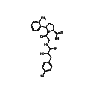 Cc1ccccc1C1CC[C@@H](C(=O)O)N1C(=O)CNC(=O)C(S)Cc1ccc(O)cc1